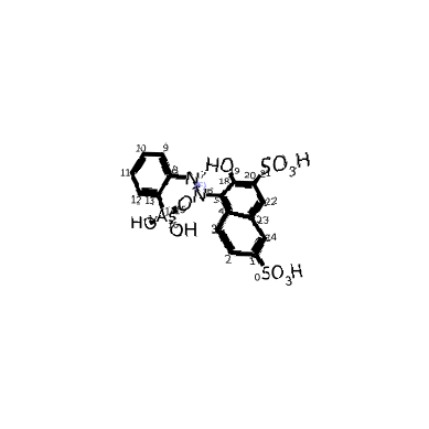 O=S(=O)(O)c1ccc2c(/N=N/c3ccccc3[As](=O)(O)O)c(O)c(S(=O)(=O)O)cc2c1